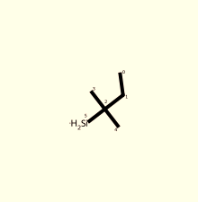 CCC(C)(C)[SiH2]